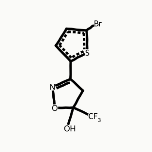 OC1(C(F)(F)F)CC(c2ccc(Br)s2)=NO1